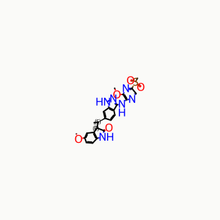 COc1ccc2c(c1)[C@]1(C[C@H]1c1ccc3c(Nc4ncc(S(C)(=O)=O)nc4OC)n[nH]c3c1)C(=O)N2